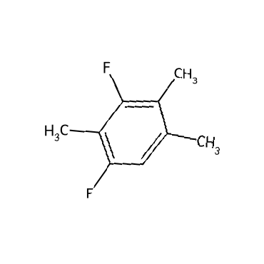 Cc1cc(F)c(C)c(F)c1C